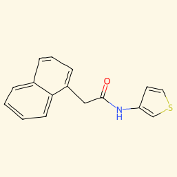 O=C(Cc1cccc2ccccc12)Nc1ccsc1